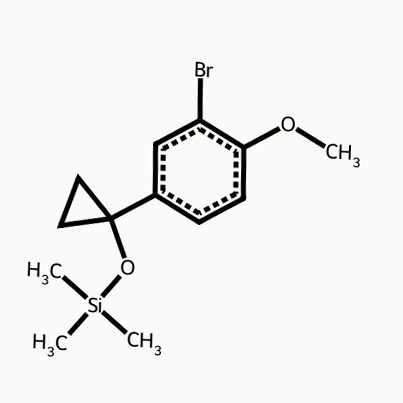 COc1ccc(C2(O[Si](C)(C)C)CC2)cc1Br